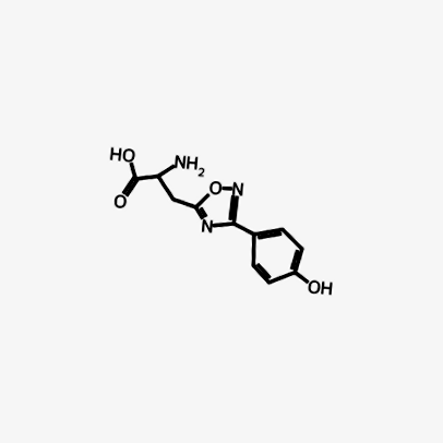 NC(Cc1nc(-c2ccc(O)cc2)no1)C(=O)O